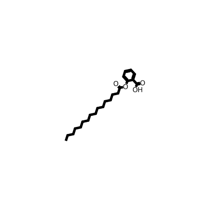 CCCCCCCCCCCCCCCC(=O)Oc1ccccc1C(=O)O